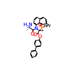 CCCP1(=O)C[C@@]1(C(=O)Oc1ccc(-c2ccccc2)cc1)N(C(=O)[C@H](C)N)c1cccc2ccccc12